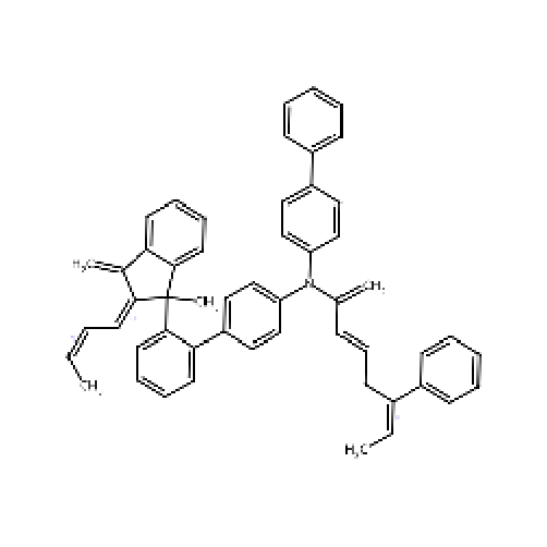 C=C1/C(=C\C=C/C)C(C)(c2ccccc2-c2ccc(N(C(=C)C=CC/C(=C\C)c3ccccc3)c3ccc(-c4ccccc4)cc3)cc2)c2ccccc21